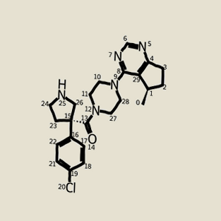 C[C@@H]1CCc2ncnc(N3CCN(C(=O)[C@]4(c5ccc(Cl)cc5)CCNC4)CC3)c21